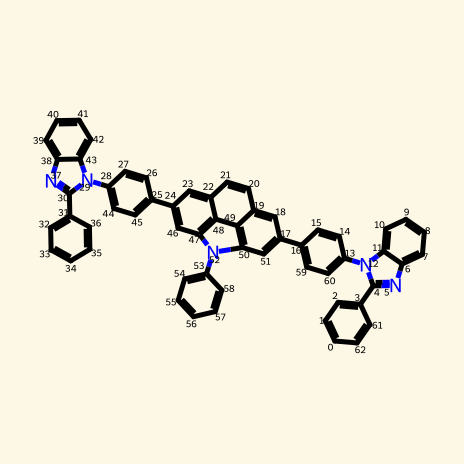 c1ccc(-c2nc3ccccc3n2-c2ccc(-c3cc4ccc5cc(-c6ccc(-n7c(-c8ccccc8)nc8ccccc87)cc6)cc6c5c4c(c3)n6-c3ccccc3)cc2)cc1